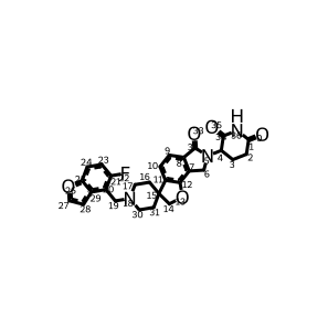 O=C1CCC(N2Cc3c(ccc4c3OCC43CCN(Cc4c(F)ccc5occc45)CC3)C2=O)C(=O)N1